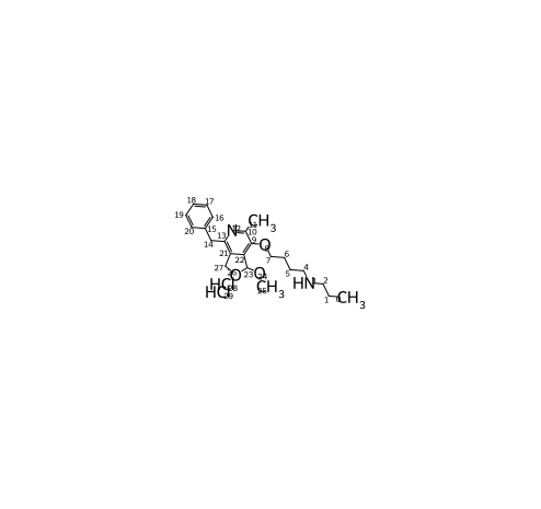 CCCNCCCCOc1c(C)nc(Cc2ccccc2)c2c1C(OC)OC2.Cl.Cl